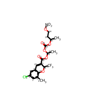 Cc1cc(Cl)cc2c1OC(C(F)(F)F)C(C(=O)OC(C)OC(=O)OC(C)CCO[N+](=O)[O-])=C2